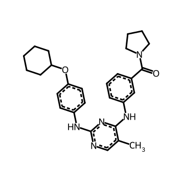 Cc1cnc(Nc2ccc(OC3CCCCC3)cc2)nc1Nc1cccc(C(=O)N2CCCC2)c1